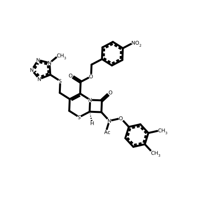 CC(=O)N(Oc1ccc(C)c(C)c1)C1C(=O)N2C(C(=O)OCc3ccc([N+](=O)[O-])cc3)=C(CSc3nnnn3C)CS[C@H]12